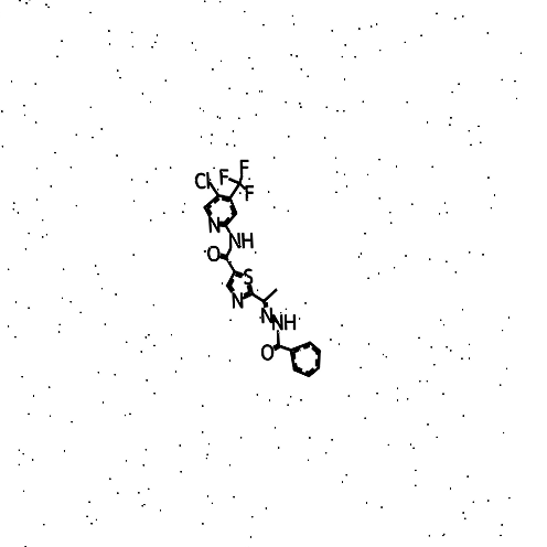 C/C(=N\NC(=O)c1ccccc1)c1ncc(C(=O)Nc2cc(C(F)(F)F)c(Cl)cn2)s1